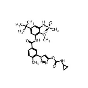 COc1c(NC(=O)c2ccc(C)c(-n3cc(OC(=O)NC4CC4)nn3)c2)cc(C(C)(C)C)cc1NS(C)(=O)=O